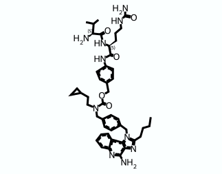 CCCCc1nc2c(N)nc3ccccc3c2n1Cc1ccc(CN(CCC2CC2)C(=O)OCc2ccc(NC(=O)[C@H](CCCNC(N)=O)NC(=O)[C@@H](N)C(C)C)cc2)cc1